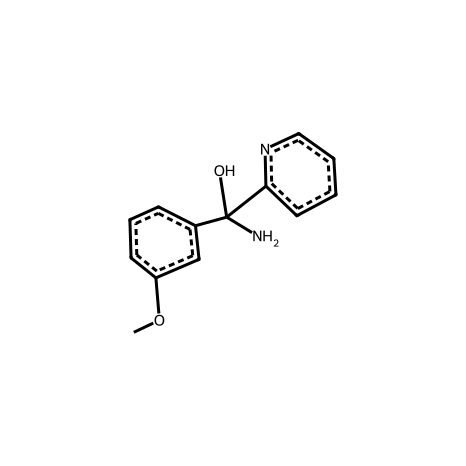 COc1cccc(C(N)(O)c2ccccn2)c1